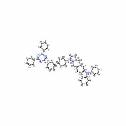 c1ccc(-c2nc(-c3ccccc3)nc(-c3cccc(-c4ccc(-n5ccc6cc7cc8c(cc7cc65)c5ccccc5n8-c5ccccc5)cc4)c3)n2)cc1